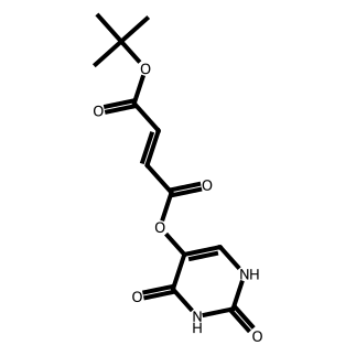 CC(C)(C)OC(=O)/C=C/C(=O)Oc1c[nH]c(=O)[nH]c1=O